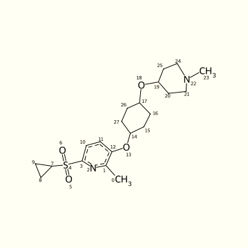 Cc1nc(S(=O)(=O)C2CC2)ccc1OC1CCC(OC2CCN(C)CC2)CC1